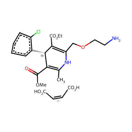 CCOC(=O)C1=C(COCCN)NC(C)=C(C(=O)OC)[C@@H]1c1ccccc1Cl.O=C(O)/C=C\C(=O)O